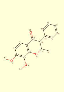 COc1ccc2c(c1OC)OC(C)C(c1ccccc1)C2=O